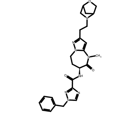 CN1C(=O)[C@@H](NC(=O)c2ncn(Cc3ccccc3)n2)CCn2nc(CCN3CC4CC3CO4)cc21